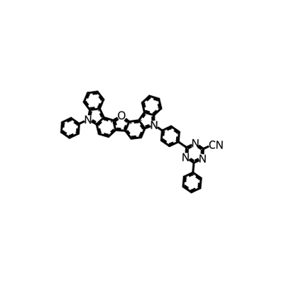 N#Cc1nc(-c2ccccc2)nc(-c2ccc(-n3c4ccccc4c4c5oc6c(ccc7c6c6ccccc6n7-c6ccccc6)c5ccc43)cc2)n1